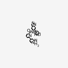 Cl.Cn1cc2cc(NC(=O)c3cccc(-c4ccnc(N)c4)n3)c(N3CCCCC3)cc2n1